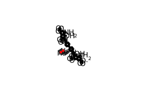 Nc1cc(S(=O)(=O)[O-])cc2cc(S(=O)(=O)[O-])c(N=Nc3ccc(-c4ccc(N=Nc5c(S(=O)(=O)[O-])cc6cc(S(=O)(=O)[O-])cc(N)c6c5O)cc4)cc3)c(O)c12.[Na+].[Na+].[Na+].[Na+]